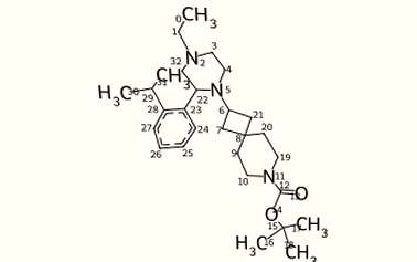 CCN1CCN(C2CC3(CCN(C(=O)OC(C)(C)C)CC3)C2)C(c2ccccc2C(C)C)C1